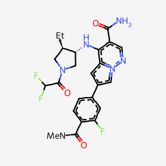 CC[C@@H]1CN(C(=O)C(F)F)C[C@H]1Nc1c(C(N)=O)cnn2cc(-c3ccc(C(=O)NC)c(F)c3)cc12